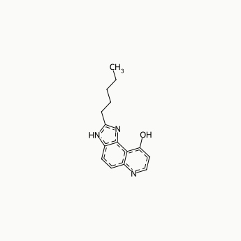 CCCCCc1nc2c(ccc3nccc(O)c32)[nH]1